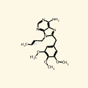 C/C=C/Cn1c(Cc2cc(OC)c(OC)c(OC)c2)nc2c(N)ncnc21